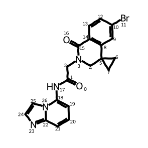 O=C(CN1CC2(CC2)c2cc(Br)ccc2C1=O)Nc1cccc2nccn12